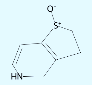 [O-][S+]1CCC2=C1C=CNC2